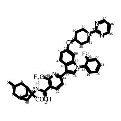 CC1CC2CC(C1)C(NC(=O)c1ccc(-c3cn(-c4ccccc4F)c4cc(OC5CCN(c6ncccn6)CC5)ccc34)nc1C(F)(F)F)(C(=O)O)C2